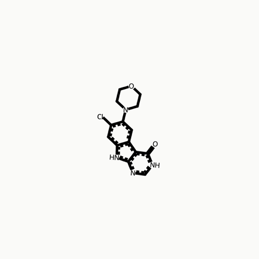 O=c1[nH]cnc2[nH]c3cc(Cl)c(N4CCOCC4)cc3c12